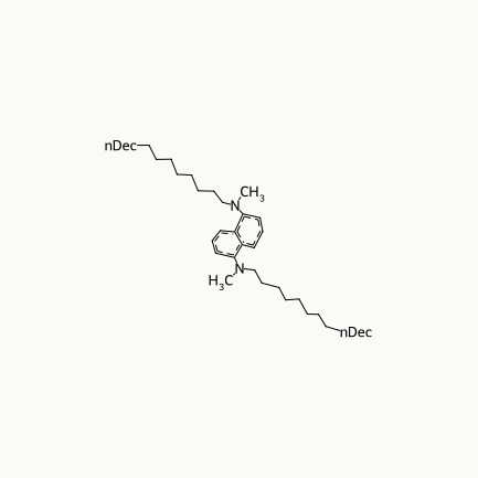 CCCCCCCCCCCCCCCCCCN(C)c1cccc2c(N(C)CCCCCCCCCCCCCCCCCC)cccc12